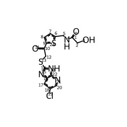 O=C(CO)NCc1ccc(C(=O)CSc2nc3cc(Cl)cnc3[nH]2)s1